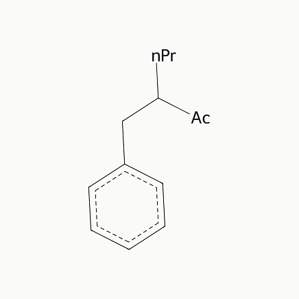 CCCC(Cc1ccccc1)C(C)=O